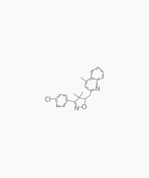 Cc1cc(CC2ON=C(c3ccc(Cl)cc3)C2(C)C)nc2ccccc12